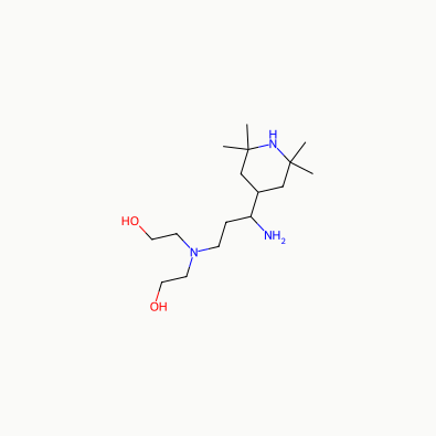 CC1(C)CC(C(N)CCN(CCO)CCO)CC(C)(C)N1